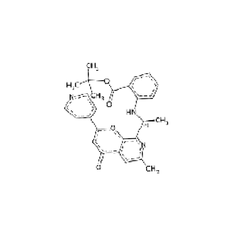 Cc1cc2c(=O)cc(-c3ccncc3)oc2c([C@H](C)Nc2ccccc2C(=O)OC(C)(C)C)n1